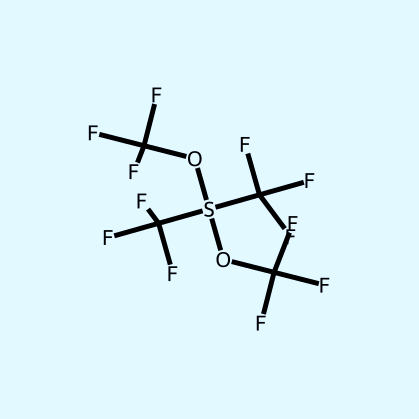 FC(F)(F)OS(OC(F)(F)F)(C(F)(F)F)C(F)(F)F